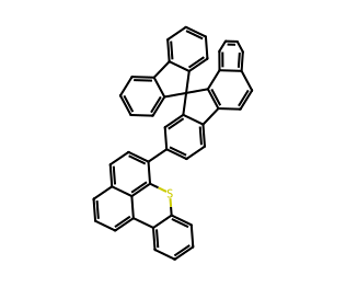 c1ccc2c(c1)Sc1c(-c3ccc4c(c3)C3(c5ccccc5-c5ccccc53)c3c-4ccc4ccccc34)ccc3cccc-2c13